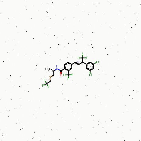 C[C@H](CSCC(F)(F)F)NC(=O)c1ccc(/C=C/C(c2cc(Cl)cc(Cl)c2)C(F)(F)F)cc1C(F)(F)F